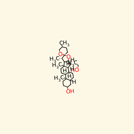 CCO.C[C@H]1CC[C@@]2(OC1)O[C@H]1C[C@H]3[C@@H]4CC[C@@H]5C[C@@H](O)CC[C@]5(C)[C@H]4CC[C@]3(C)[C@H]1[C@@H]2C